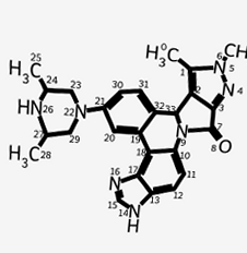 Cc1c2c(nn1C)C(=O)N1c3ccc4[nH]cnc4c3-c3cc(N4CC(C)NC(C)C4)ccc3C21